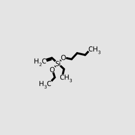 C=C[Si](CC)(OCC)OCCCC